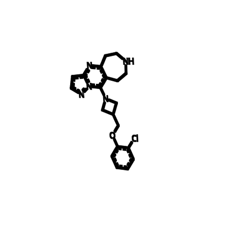 Clc1ccccc1OCC1CN(c2c3c(nc4ccnn24)CCNCC3)C1